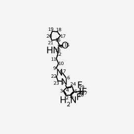 Nc1ccc(N2CCN(CCCCNC(=O)C3CCCCC3)CC2)cc1C(F)(F)F